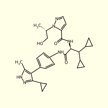 Cc1[nH]nc(C2CC2)c1-c1ccc(NC(=O)[C@@H](NC(=O)c2ccnn2[C@@H](C)CO)C(C2CC2)C2CC2)cc1